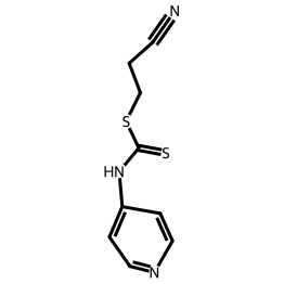 N#CCCSC(=S)Nc1ccncc1